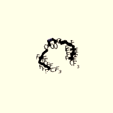 O=C(/C=C\C(=O)OCCC(F)(F)CC(F)(F)C(F)(F)C(F)(F)C(F)(F)F)OCCC(F)(F)CC(F)(F)C(F)(F)C(F)(F)C(F)(F)F